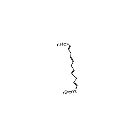 [CH2]CCCCCC=CCC=CCC=CCC=CCCCCC